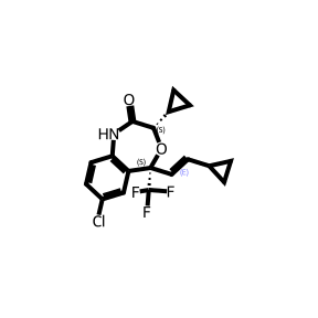 O=C1Nc2ccc(Cl)cc2[C@@](/C=C/C2CC2)(C(F)(F)F)O[C@H]1C1CC1